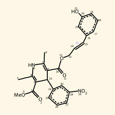 COC(=O)C1=C(C)NC(C)=C(C(=O)OC/C=C/c2cccc(O)c2)C1c1cccc([N+](=O)[O-])c1